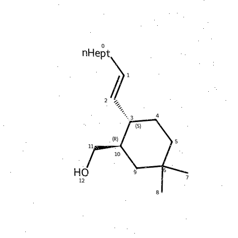 CCCCCCCC=C[C@@H]1CCC(C)(C)C[C@H]1CO